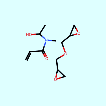 C(OCC1CO1)C1CO1.C=CC(=O)N(C)C(C)O